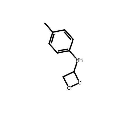 Cc1ccc(NC2COO2)cc1